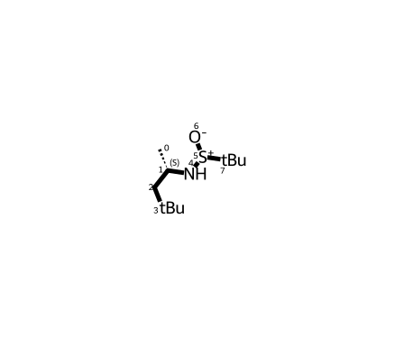 C[C@@H](CC(C)(C)C)N[S+]([O-])C(C)(C)C